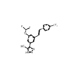 N#Cc1[nH]nnc1-c1cc(/C=C/c2ccc(C(F)(F)F)cc2)cc(OC(F)F)c1